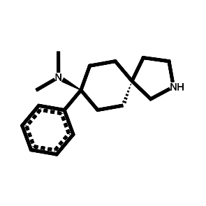 CN(C)[C@]1(c2ccccc2)CC[C@@]2(CCNC2)CC1